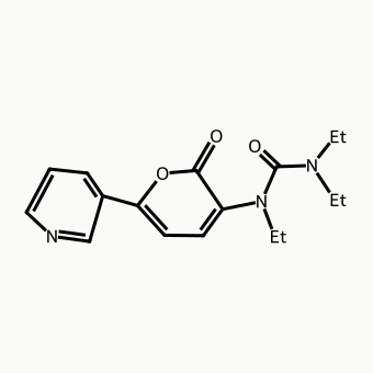 CCN(CC)C(=O)N(CC)c1ccc(-c2cccnc2)oc1=O